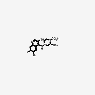 CC(C)(C)C1CN(Nc2c(N)cnc3cc(F)c(Br)cc23)CCN1C(=O)O